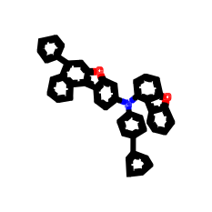 c1ccc(-c2ccc(N(c3ccc4c(c3)oc3cc(-c5ccccc5)c5ccccc5c34)c3cccc4oc5ccccc5c34)cc2)cc1